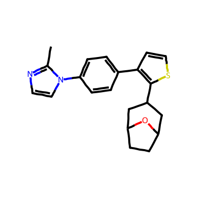 Cc1nccn1-c1ccc(-c2ccsc2C2CC3CCC(C2)O3)cc1